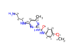 COc1ccc(NC(=O)Nc2nc(C)cc(NCCCN)n2)cc1